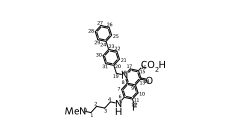 CNCCCCNc1cc2c(cc1F)c(=O)c(C(=O)O)cn2Cc1ccc(-c2ccccc2)cc1